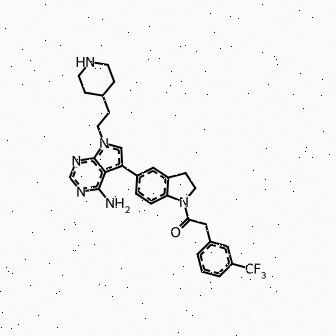 Nc1ncnc2c1c(-c1ccc3c(c1)CCN3C(=O)Cc1cccc(C(F)(F)F)c1)cn2CCC1CCNCC1